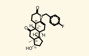 C[C@]12CC(=O)[C@H]3[C@@H](CC=C4N(Cc5ccc(F)cc5)C(=O)CC[C@@]43C)[C@@H]1CC[C@@H]2O